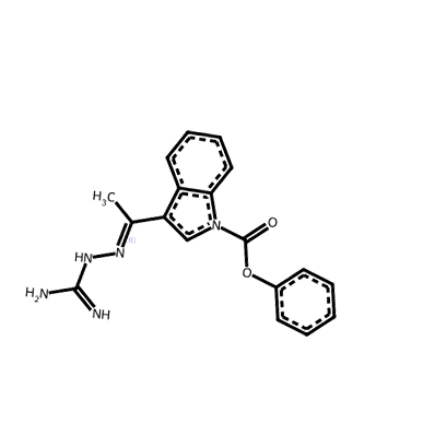 C/C(=N\NC(=N)N)c1cn(C(=O)Oc2ccccc2)c2ccccc12